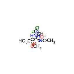 Cc1ccc(-n2ccc3c(-c4ccc(C(=O)O)c(CS(C)(=O)=O)c4)c(Nc4ncc(Cl)cc4F)n(C)c(=O)c32)cc1